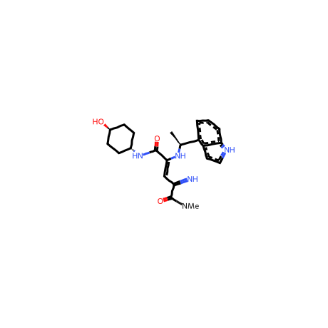 CNC(=O)C(=N)/C=C(\N[C@@H](C)c1cccc2[nH]ccc12)C(=O)N[C@H]1CC[C@H](O)CC1